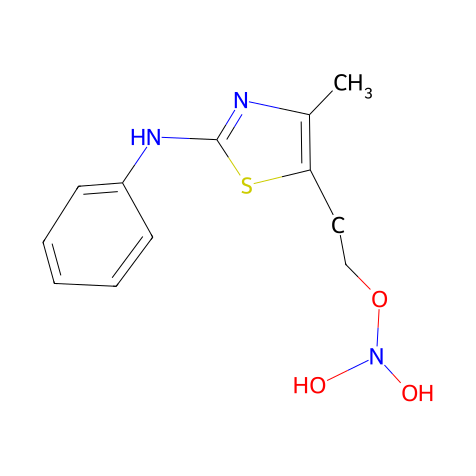 Cc1nc(Nc2ccccc2)sc1CCON(O)O